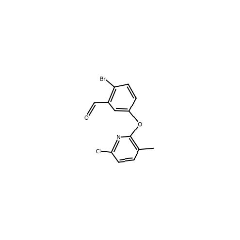 Cc1ccc(Cl)nc1Oc1ccc(Br)c(C=O)c1